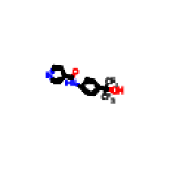 O=C(Nc1ccc(C(O)(C(F)(F)F)C(F)(F)F)cc1)c1ccncc1